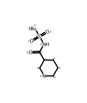 CC(C)(C)S(=O)(=O)NC(=O)C1CCC[N]C1